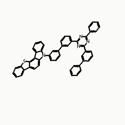 c1ccc(-c2cccc(-c3nc(-c4ccccc4)nc(-c4cccc(-c5cccc(-n6c7ccccc7c7c8sc9ccccc9c8ccc76)c5)c4)n3)c2)cc1